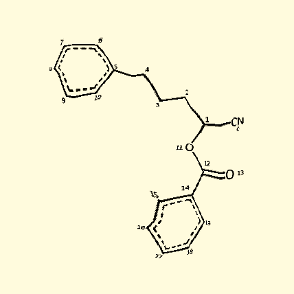 N#CC(CCCc1ccccc1)OC(=O)c1ccccc1